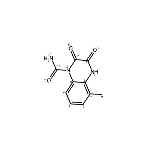 Cc1cccc2c1[nH]c(=O)c(=O)n2C(N)=O